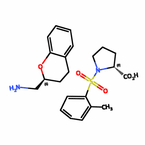 Cc1ccccc1S(=O)(=O)N1CCC[C@@H]1C(=O)O.NC[C@@H]1CCc2ccccc2O1